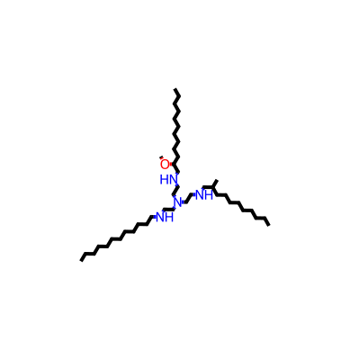 CCCCCCCCCCCCNCCN(CCNCC(C)CCCCCCCCC)CCNCC(CCCCCCCCCC)OC